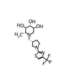 C[C@@H]1[C@@H](O)[C@H](O)[C@@H](O)CN1C[C@@H]1CCN(c2nc(C(F)(F)F)cs2)C1